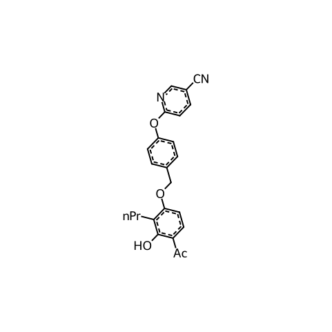 CCCc1c(OCc2ccc(Oc3ccc(C#N)cn3)cc2)ccc(C(C)=O)c1O